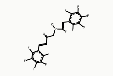 O=C(C=Cc1c(F)c(F)c(F)c(F)c1F)C[S+]([O-])C(F)=Cc1c(F)c(F)c(F)c(F)c1F